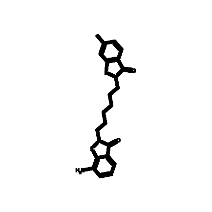 Cc1ccc2c(=O)n(CCCCCCn3sc4c(N)cccc4c3=O)sc2c1